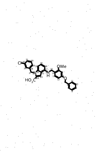 COc1cc(OCc2ccccc2)ccc1CNc1cccc2c1cc(C(=O)O)n2Cc1cccc(Cl)c1